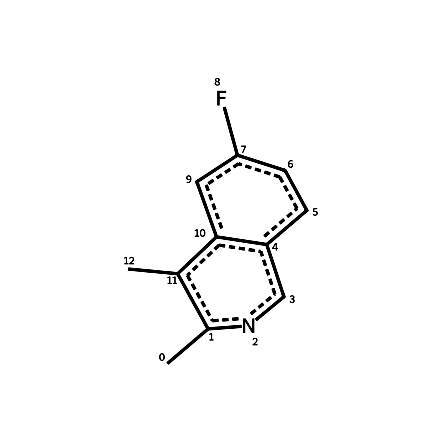 Cc1ncc2ccc(F)cc2c1C